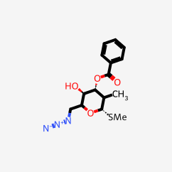 CS[C@@H]1OC(CN=[N+]=[N-])[C@@H](O)[C@H](OC(=O)c2ccccc2)C1C